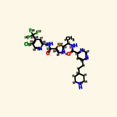 CC(NC(=O)c1cc(CCC2CCNCC2)ncn1)c1ncc(C(=O)Nc2cc(C(F)(F)F)c(Cl)cn2)s1